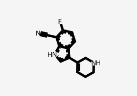 N#Cc1c(F)ccc2c(C3=CCCNC3)c[nH]c12